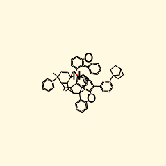 CC1C2=C3C(C)C4=C1C(C)(c1ccccc1)C=CC4(C)N(c1cccc4oc5ccccc5c14)c1cc(-c4cccc(C56CCC(CC5)C6)c4)c4c(c1)C3(c1ccccc1O4)c1ccccc12